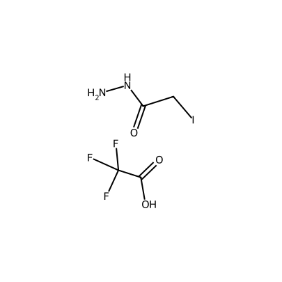 NNC(=O)CI.O=C(O)C(F)(F)F